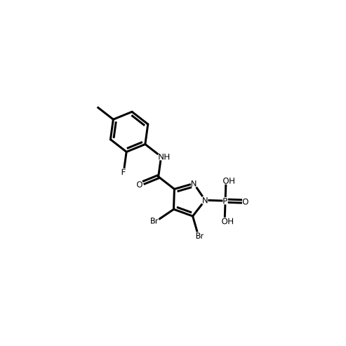 Cc1ccc(NC(=O)c2nn(P(=O)(O)O)c(Br)c2Br)c(F)c1